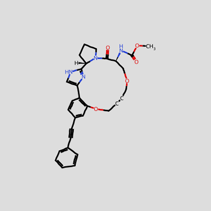 COC(=O)N[C@H]1COCCCCOc2cc(C#Cc3ccccc3)ccc2-c2c[nH]c(n2)[C@@H]2CCCN2C1=O